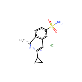 C[C@@H](N)c1ccc(S(N)(=O)=O)cc1/C=C/C1CC1.Cl